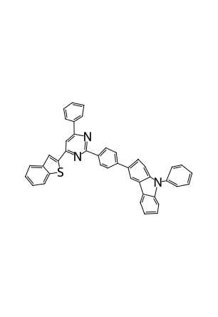 c1ccc(-c2cc(-c3cc4ccccc4s3)nc(-c3ccc(-c4ccc5c(c4)c4ccccc4n5-c4ccccc4)cc3)n2)cc1